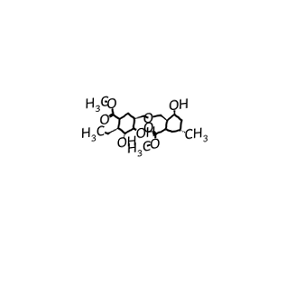 CC[C@H]1C(C(=O)OC)C[C@@H](COC[C@@H]2C(C(=O)OC)C[C@@H](C)C[C@@H]2O)C(O)[C@@H]1O